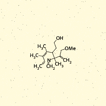 C=C/C(C)=C(/C)C(CCO)C(C)(N=C)C(=C)COC